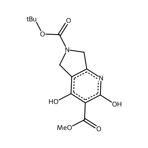 COC(=O)c1c(O)nc2c(c1O)CN(C(=O)OC(C)(C)C)C2